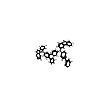 c1ccc(-c2ccc(N(c3ccc(-c4cc(-n5c6ccccc6c6ccc7ccccc7c65)ccc4-c4ccccc4)cc3)c3ccc4sc5ccccc5c4c3)cc2)cc1